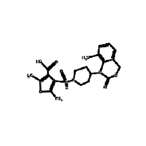 Cc1cccc2c1N(C1CCN(S(=O)(=O)c3c(C)oc(C)c3C(=O)O)CC1)C(=O)OC2